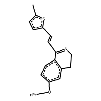 CCCOc1ccc2c(c1)CCN=C2/C=C/c1ccc(C)s1